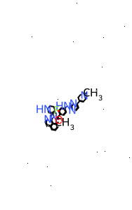 Cc1cccc2ccnc(N(C(=O)c3ccc(Nc4nccc(C5=CCN(C)CC5)n4)cc3F)[C@@H]3CCCNC3)c12